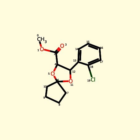 COC(=O)C1OC2(CCCC2)OC1c1ccccc1Cl